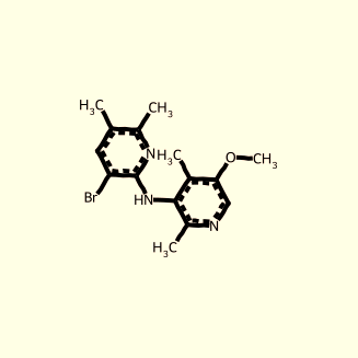 COc1cnc(C)c(Nc2nc(C)c(C)cc2Br)c1C